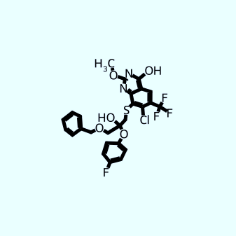 COc1nc(O)c2cc(C(F)(F)F)c(Cl)c(SCC(O)(COCc3ccccc3)Oc3ccc(F)cc3)c2n1